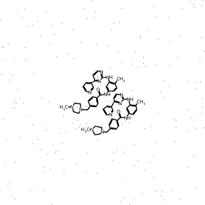 Cc1ccc(NC(=O)c2ccc(CN3CCN(C)CC3)cc2)cc1Nc1nccc(-c2cccnc2)n1.Cc1ccc(NC(=O)c2ccc(CN3CCN(C)CC3)cc2)cc1Nc1nccc(-c2cccnc2)n1